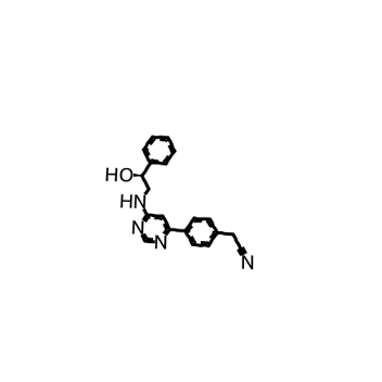 N#CCc1ccc(-c2cc(NC[C@@H](O)c3ccccc3)ncn2)cc1